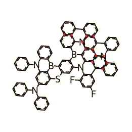 Fc1cc(F)c(N2c3cc4c(cc3B3c5ccccc5N(c5ccccc5-c5ccccc5)c5cc(N(c6ccccc6)c6ccccc6-c6ccccc6)cc2c53)B2c3ccccc3N(c3ccccc3)c3cc(N(c5ccccc5)c5ccccc5)cc(c32)S4)c(-c2ccccc2)c1